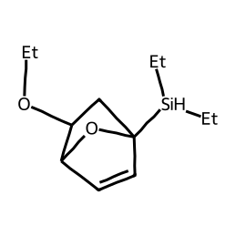 CCOC1CC2([SiH](CC)CC)C=CC1O2